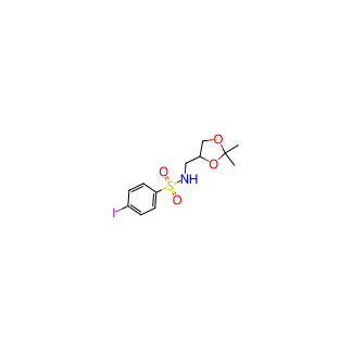 CC1(C)OCC(CNS(=O)(=O)c2ccc(I)cc2)O1